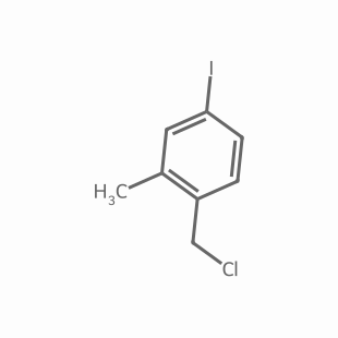 Cc1cc(I)ccc1CCl